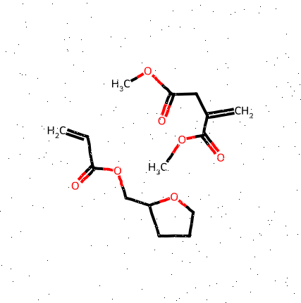 C=C(CC(=O)OC)C(=O)OC.C=CC(=O)OCC1CCCO1